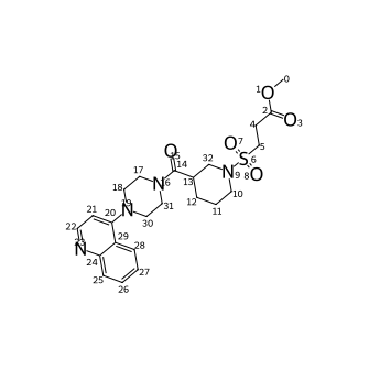 COC(=O)CCS(=O)(=O)N1CCCC(C(=O)N2CCN(c3ccnc4ccccc34)CC2)C1